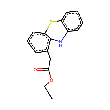 CCOC(=O)Cc1cccc2c1Nc1ccccc1S2